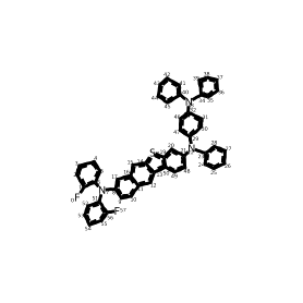 Fc1ccccc1N(c1ccc2cc3c(cc2c1)sc1cc(N(c2ccccc2)c2ccc(N(c4ccccc4)c4ccccc4)cc2)ccc13)c1ccccc1F